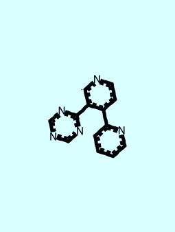 [c]1nccc(-c2ccccn2)c1-c1ncncn1